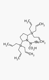 C=CC[Si](CC=C)(CC=C)C1CCC([Si](CC=C)(CC=C)CC=C)N1N(C(=O)O)C(C)(C)C